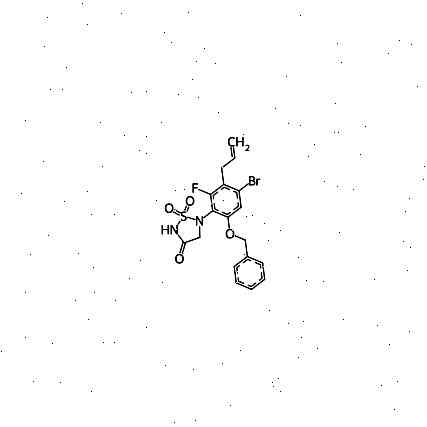 C=CCc1c(Br)cc(OCc2ccccc2)c(N2CC(=O)NS2(=O)=O)c1F